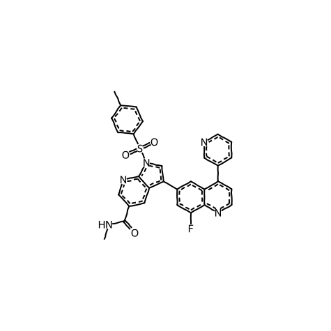 CNC(=O)c1cnc2c(c1)c(-c1cc(F)c3nccc(-c4cccnc4)c3c1)cn2S(=O)(=O)c1ccc(C)cc1